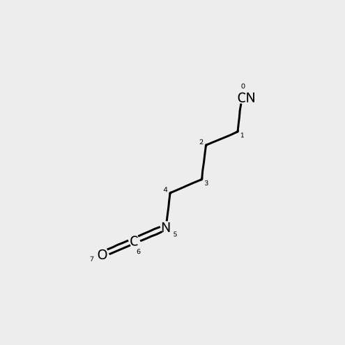 N#CCCCCN=C=O